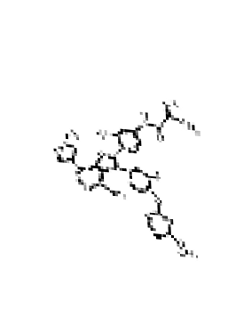 C=C(C)C(=O)Nc1ccc(-c2sc3c(-c4cnn(C)c4)cnc(N)c3c2-c2ccc(Oc3nccc(OC)n3)c(F)c2)c(C)c1